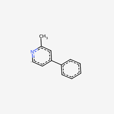 Cc1cc(-c2ccccc2)c[c]n1